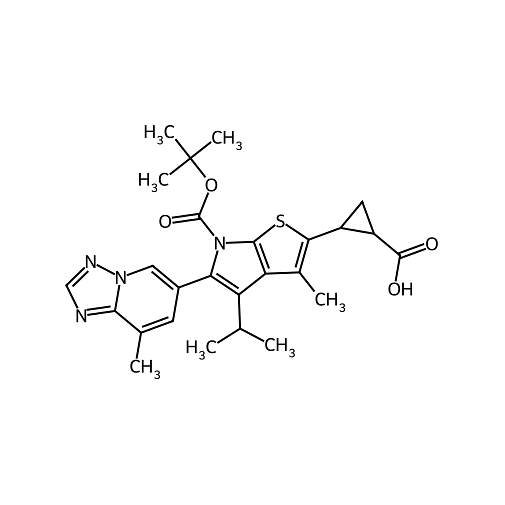 Cc1c(C2CC2C(=O)O)sc2c1c(C(C)C)c(-c1cc(C)c3ncnn3c1)n2C(=O)OC(C)(C)C